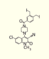 Cn1c(=O)c(C#N)c(N2CCN(C(=O)c3ccc(CI)c(CI)c3)CC2)c2cc(Cl)ccc21